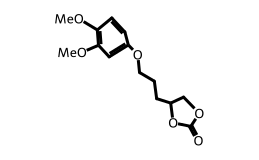 COc1ccc(OCCCC2COC(=O)O2)cc1OC